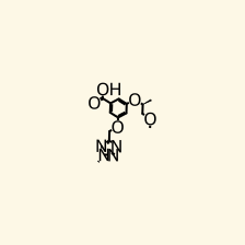 COC[C@H](C)Oc1cc(OCc2nnn(C)n2)cc(C(=O)O)c1